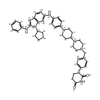 O=C1CCN(c2ccc(CN3CCN(C4CCN(c5ccc(Nc6ncc7nc(Nc8ccccc8)n(C8CCCC8)c7n6)cc5)CC4)CC3)nc2)C(=O)N1